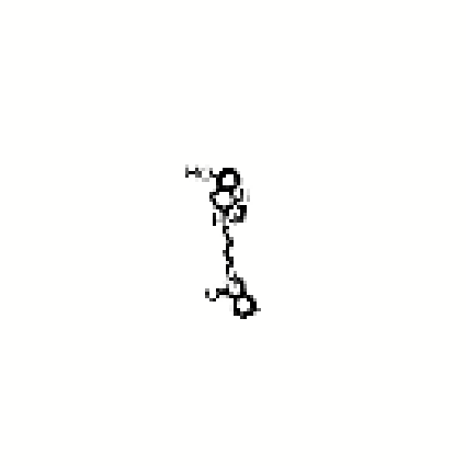 O=C1c2ccccc2CN1CCCCCN1CC[C@H]2c3cccc(O)c3CC[C@H]21